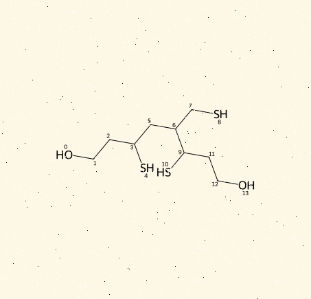 OCCC(S)CC(CS)C(S)CCO